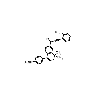 CC(=O)Nc1ccc(C2=CCC(C)(C)c3cc(C(O)C#Cc4ccccc4C(=O)O)ccc32)cc1